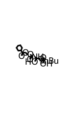 CCCCP(=O)(O)CCC(O)NC(=O)OCOC(=O)C1CCCCC1